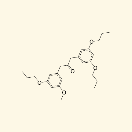 CCCOc1cc(CC(=O)Cc2cc(OCCC)cc(OCCC)c2)cc(OC)c1